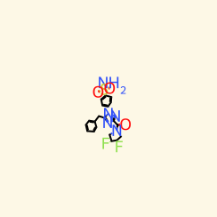 NS(=O)(=O)c1ccc(-n2nc(C(=O)N3C[C@@H](F)[C@H](F)C3)nc2Cc2ccccc2)cc1